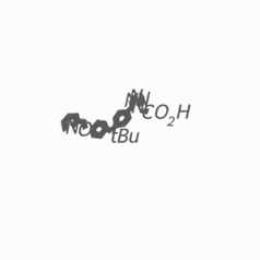 CC(C)(C)C(c1ccc(OCc2ccccn2)cc1)c1ccc(-c2nnnn2CC(=O)O)cc1